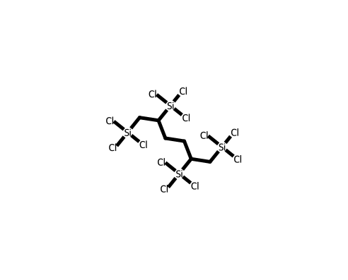 Cl[Si](Cl)(Cl)CC(CCC(C[Si](Cl)(Cl)Cl)[Si](Cl)(Cl)Cl)[Si](Cl)(Cl)Cl